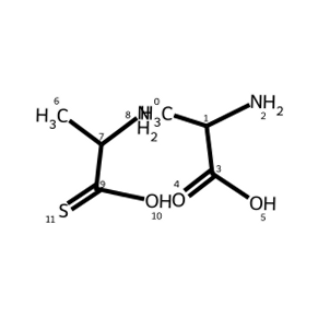 CC(N)C(=O)O.CC(N)C(O)=S